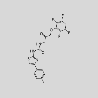 Cc1ccc(-c2csc(NC(=O)NCC(=O)COC3=C(F)C(F)CC(F)=C3F)n2)cc1